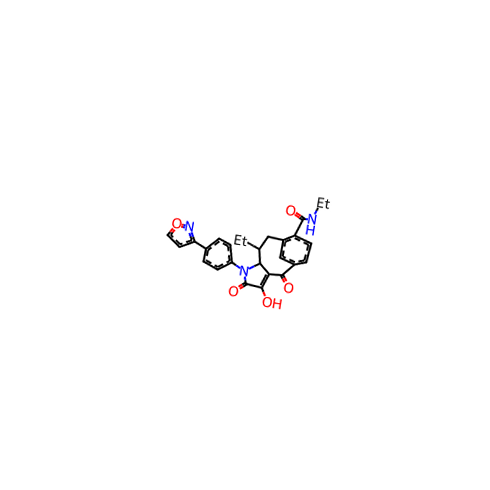 CCNC(=O)c1ccc2cc1CC(CC)C1C(=C(O)C(=O)N1c1ccc(-c3ccon3)cc1)C2=O